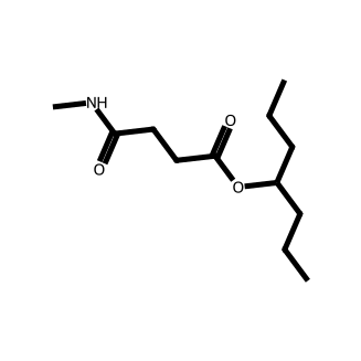 CCCC(CCC)OC(=O)CCC(=O)NC